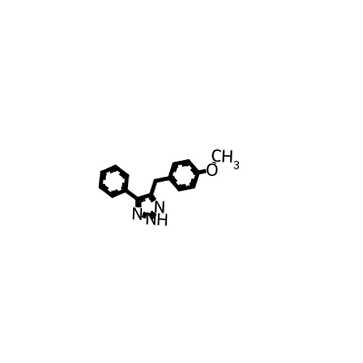 COc1ccc(Cc2n[nH]nc2-c2ccccc2)cc1